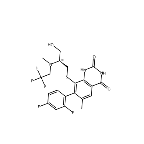 Cc1cc2c(=O)[nH]c(=O)[nH]c2c(SC[C@H](CO)N(C)CC(F)(F)F)c1-c1ccc(F)cc1F